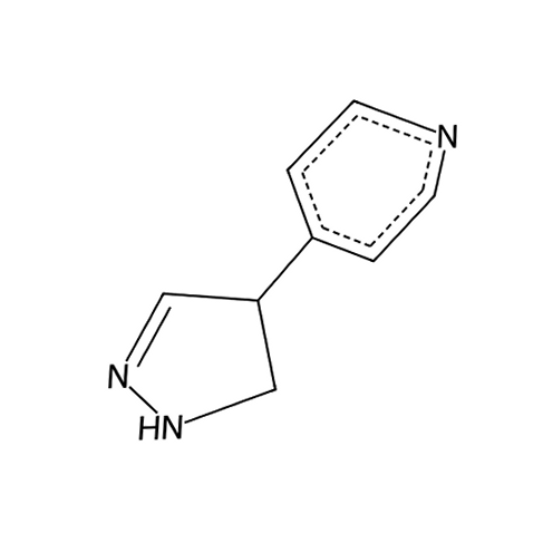 C1=NNCC1c1ccncc1